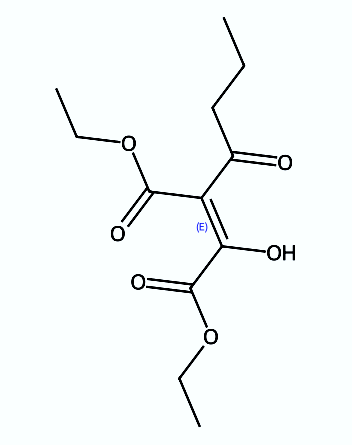 CCCC(=O)/C(C(=O)OCC)=C(\O)C(=O)OCC